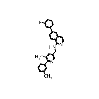 Cc1cccc(-c2ncc(CNc3nccc4cc(-c5cccc(F)c5)ccc34)cc2C)c1